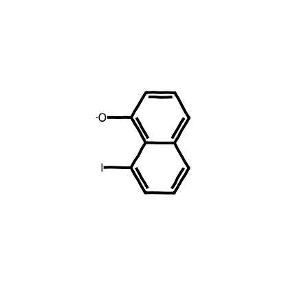 [O]c1cccc2cccc(I)c12